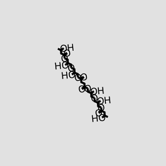 CC(O)CC(=O)OCC(O)COCC(O)COC(=O)CCC(=O)OCC(O)COCC(O)COC(=O)CC(C)O